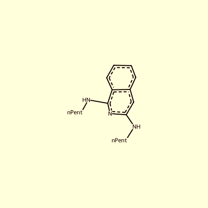 CCCCCNc1cc2ccccc2c(NCCCCC)n1